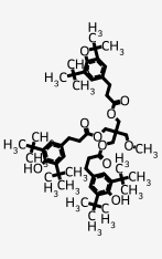 COCC(COC(=O)CCc1cc(C(C)(C)C)c(O)c(C(C)(C)C)c1)(COC(=O)CCc1cc(C(C)(C)C)c(O)c(C(C)(C)C)c1)COC(=O)CCc1cc(C(C)(C)C)c2c(c1)C(C)(C)O2